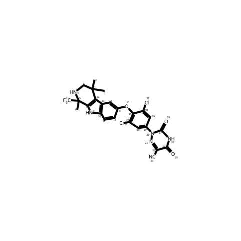 CC1(C)CNC(C)(C(F)(F)F)c2[nH]c3ccc(Oc4c(Cl)cc(-n5nc(C#N)c(=O)[nH]c5=O)cc4Cl)cc3c21